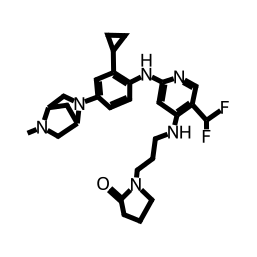 CN1CC2CC1CN2c1ccc(Nc2cc(NCCCN3CCCC3=O)c(C(F)F)cn2)c(C2CC2)c1